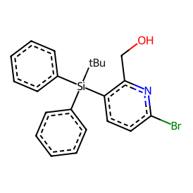 CC(C)(C)[Si](c1ccccc1)(c1ccccc1)c1ccc(Br)nc1CO